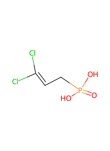 O=P(O)(O)CC=C(Cl)Cl